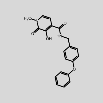 Cn1ccc(C(=O)NCc2ccc(Oc3ccccc3)cc2)c(O)c1=O